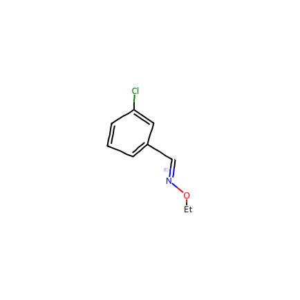 CCO/N=[C]/c1cccc(Cl)c1